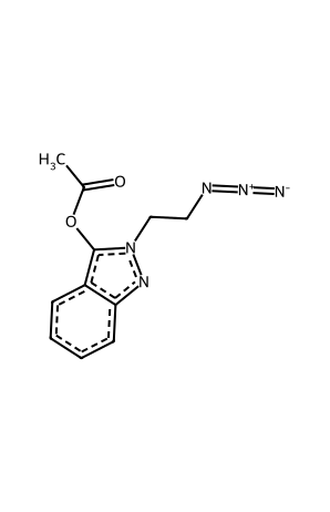 CC(=O)Oc1c2ccccc2nn1CCN=[N+]=[N-]